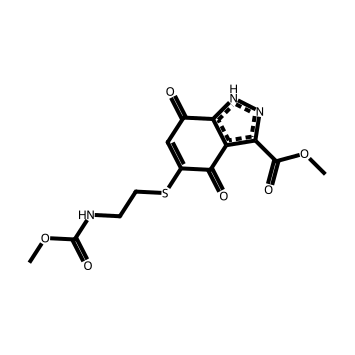 COC(=O)NCCSC1=CC(=O)c2[nH]nc(C(=O)OC)c2C1=O